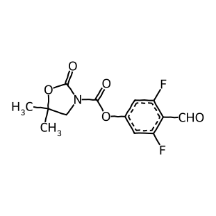 CC1(C)CN(C(=O)Oc2cc(F)c(C=O)c(F)c2)C(=O)O1